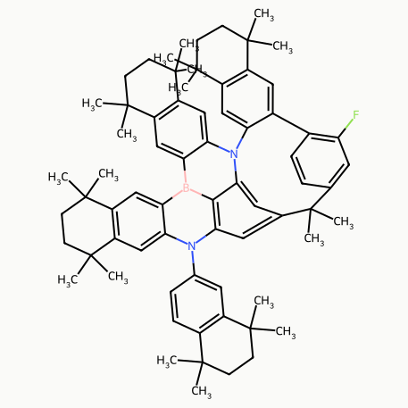 CC1(C)CCC(C)(C)c2cc(N3c4cc5c(cc4B4c6cc7c(cc6N6c8cc9c(cc8-c8ccc(cc8F)C(C)(C)c8cc3c4c6c8)C(C)(C)CCC9(C)C)C(C)(C)CCC7(C)C)C(C)(C)CCC5(C)C)ccc21